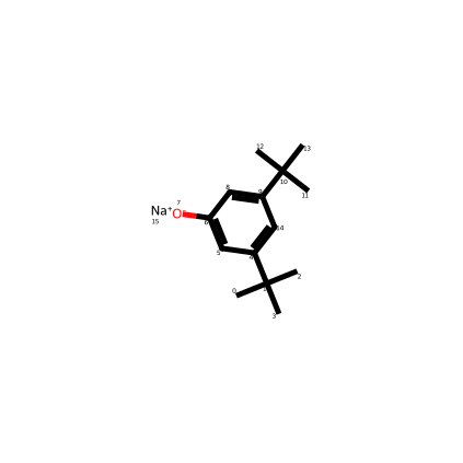 CC(C)(C)c1cc([O-])cc(C(C)(C)C)c1.[Na+]